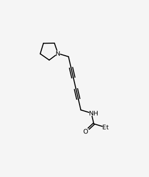 CCC(=O)NCC#CC#CCN1CCCC1